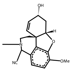 COc1ccc2c3c1O[C@H]1C[C@@H](O)C=C[C@@]31CCN(C)C2C#N